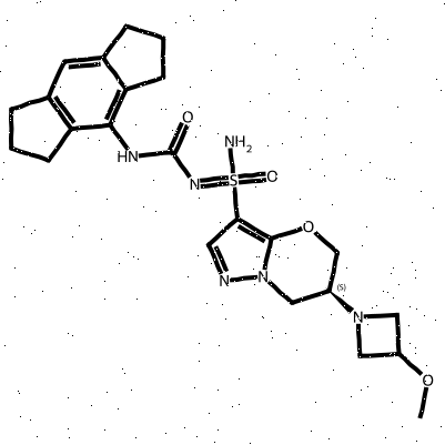 COC1CN([C@@H]2COc3c(S(N)(=O)=NC(=O)Nc4c5c(cc6c4CCC6)CCC5)cnn3C2)C1